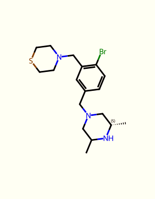 CC1CN(Cc2ccc(Br)c(CN3CCSCC3)c2)C[C@H](C)N1